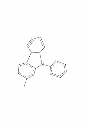 Cc1ccc2c(c1)N(c1ccccc1)C1C=CC#CC21